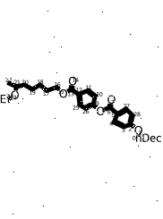 CCCCCCCCCCOc1ccc(C(=O)Oc2ccc(C(=O)OCCCCCC(C)OCC)cc2)cc1